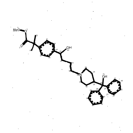 COOC(=O)C(C)(C)c1ccc(C(O)CCCN2CCC(C(O)(c3ccccc3)c3ccccc3)CC2)cc1